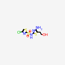 Nc1nc(NS(=O)(=O)c2nc(Cl)cs2)sc1CCO